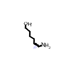 N/C=C\CCCCO